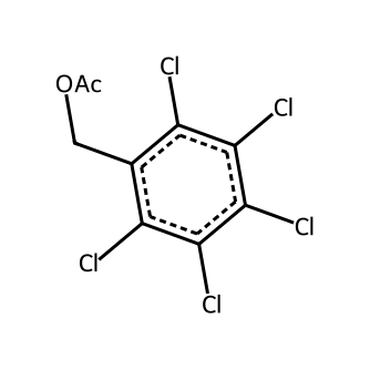 CC(=O)OCc1c(Cl)c(Cl)c(Cl)c(Cl)c1Cl